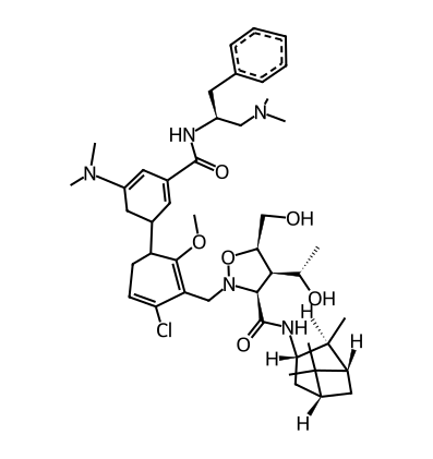 COC1=C(CN2O[C@@H](CO)[C@@H]([C@H](C)O)[C@H]2C(=O)N[C@H]2C[C@H]3C[C@@H]([C@@H]2C)C3(C)C)C(Cl)=CCC1C1C=C(C(=O)N[C@@H](Cc2ccccc2)CN(C)C)C=C(N(C)C)C1